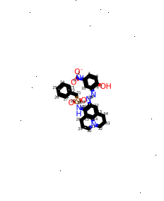 O=[N+]([O-])c1ccc(O)c(N=Nc2cc3c4c(c2NS(=O)(=O)Cc2ccccc2)CCCN4CCC3)c1